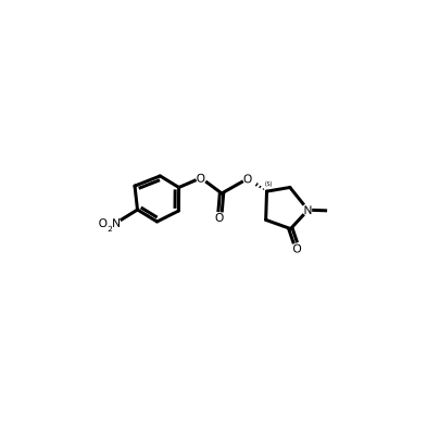 CN1C[C@@H](OC(=O)Oc2ccc([N+](=O)[O-])cc2)CC1=O